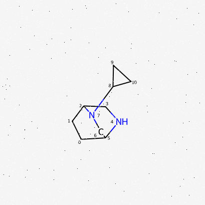 C1CC2CNC1CN2C1CC1